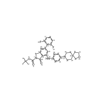 CC(C)(C)OC(=O)N1Cc2nc(-c3c(F)cccc3F)cc(Nc3ccc(N4CCC5(CCOC5)CC4)cn3)c2C1=O